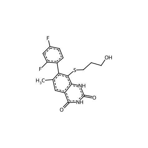 Cc1cc2c(=O)[nH]c(=O)[nH]c2c(SCCCO)c1-c1ccc(F)cc1F